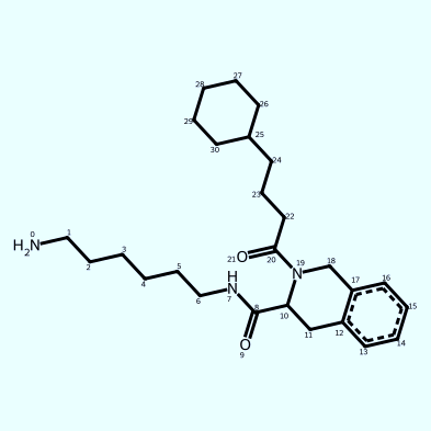 NCCCCCCNC(=O)C1Cc2ccccc2CN1C(=O)CCCC1CCCCC1